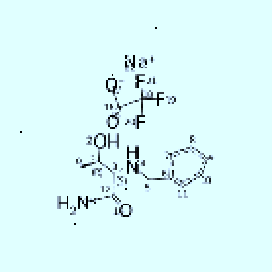 C[C@@H](O)[C@H](NCc1ccccc1)C(N)=O.O=C([O-])C(F)(F)F.[Na+]